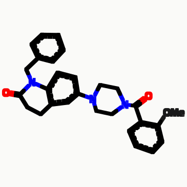 COc1ccccc1C(=O)N1CCN(c2ccc3c(c2)CCC(=O)N3Cc2ccccc2)CC1